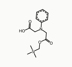 C[Si](C)(C)COC(=O)CN(CC(=O)O)c1ccccc1